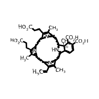 C=CC1=C(C)c2cc3[nH]c(cc4nc(cc5[nH]c(cc1n2)c(C)c5CCC(=O)O)C(CCC(=O)O)=C4C)[C@]1(C)C3=CC=C(C(=O)O)[C@@H]1C(=O)O